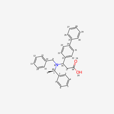 C[C@H](c1ccccc1)N(Cc1ccccc1)C(CC(=O)O)c1ccc(-c2ccccc2)cc1